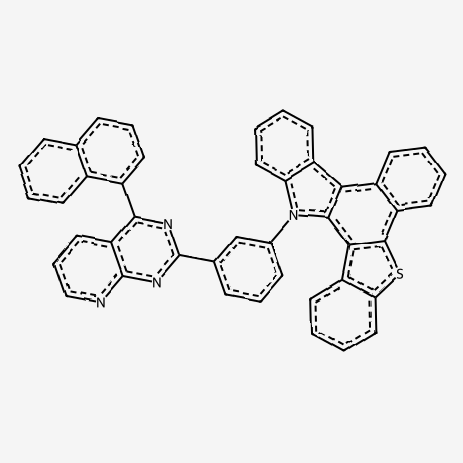 c1cc(-c2nc(-c3cccc4ccccc34)c3cccnc3n2)cc(-n2c3ccccc3c3c4ccccc4c4sc5ccccc5c4c32)c1